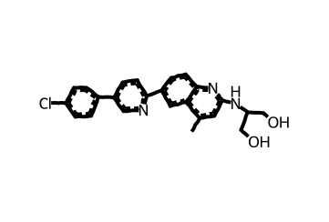 Cc1cc(NC(CO)CO)nc2ccc(-c3ccc(-c4ccc(Cl)cc4)cn3)cc12